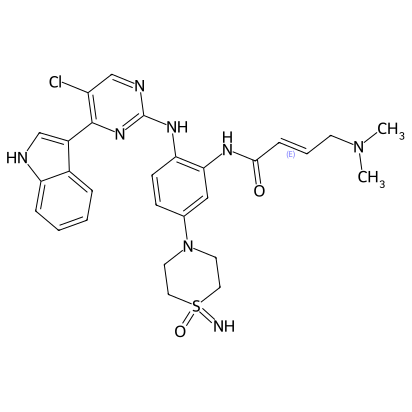 CN(C)C/C=C/C(=O)Nc1cc(N2CCS(=N)(=O)CC2)ccc1Nc1ncc(Cl)c(-c2c[nH]c3ccccc23)n1